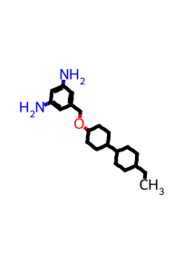 CCC1CCC(C2CCC(OCc3cc(N)cc(N)c3)CC2)CC1